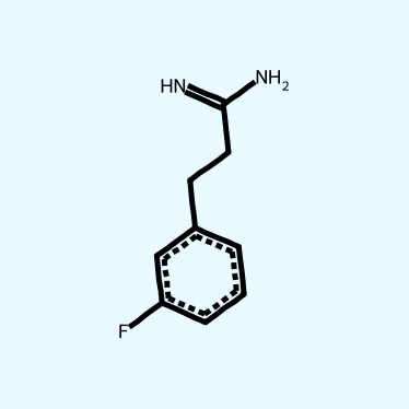 N=C(N)CCc1cccc(F)c1